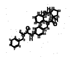 CN(Cc1ccccc1)C(=O)Nc1ccc(CN2C(=O)[C@H]3CCC[C@H]3Nc3ccccc32)cc1